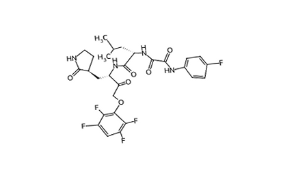 CC(C)C[C@H](NC(=O)C(=O)Nc1ccc(F)cc1)C(=O)N[C@@H](C[C@@H]1CCNC1=O)C(=O)COc1c(F)c(F)cc(F)c1F